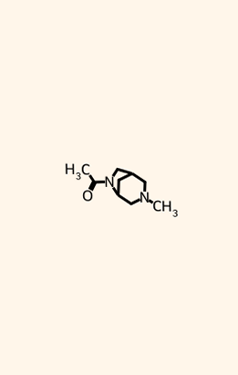 CC(=O)N1CC2CC1CN(C)C2